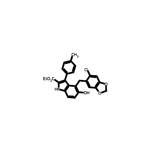 CCOC(=O)c1[nH]c2ccc(O)c(Cc3cc4c(cc3Cl)OCO4)c2c1-c1ccc(C)cc1